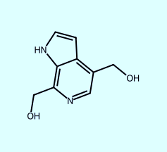 OCc1cnc(CO)c2[nH]ccc12